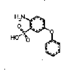 Nc1ccc(Oc2ccccc2)cc1S(=O)(=O)O